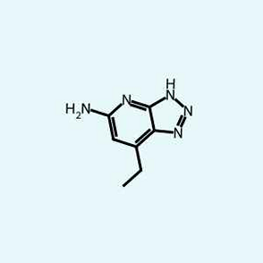 CCc1cc(N)nc2[nH]nnc12